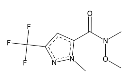 CON(C)C(=O)c1cc(C(F)(F)F)nn1C